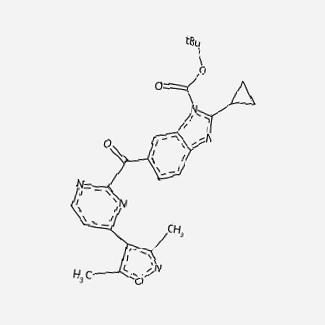 Cc1noc(C)c1-c1ccnc(C(=O)c2ccc3nc(C4CC4)n(C(=O)OC(C)(C)C)c3c2)n1